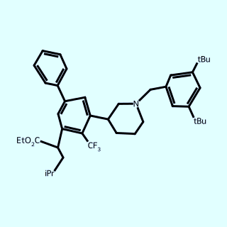 CCOC(=O)C(CC(C)C)c1cc(-c2ccccc2)cc(C2CCCN(Cc3cc(C(C)(C)C)cc(C(C)(C)C)c3)C2)c1C(F)(F)F